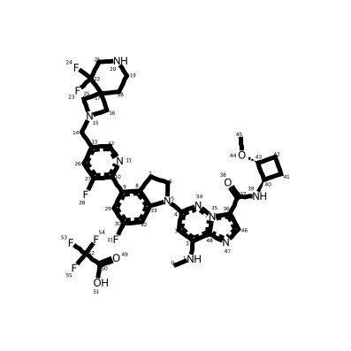 CNc1cc(N2CCc3c(-c4ncc(CN5CC6(CCNCC6(F)F)C5)cc4F)cc(F)cc32)nn2c(C(=O)N[C@@H]3CC[C@H]3OC)cnc12.O=C(O)C(F)(F)F